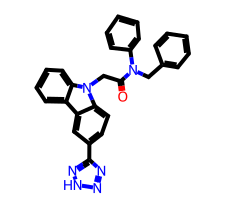 O=C(Cn1c2ccccc2c2cc(-c3nn[nH]n3)ccc21)N(Cc1ccccc1)c1ccccc1